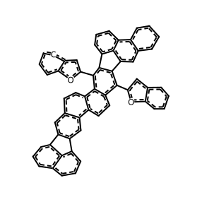 c1ccc2oc(-c3c4c(c(-c5cc6ccccc6o5)c5c3ccc3c6cc7c(cc6ccc35)-c3cccc5cccc-7c35)-c3cccc5c3c-4cc3ccccc35)cc2c1